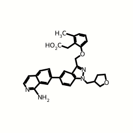 Cc1cccc(OCc2nn(CC3CCOC3)c3ccc(-c4ccc5ccnc(N)c5c4)cc23)c1CC(=O)O